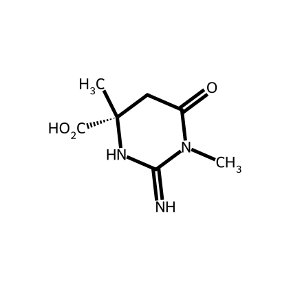 CN1C(=N)N[C@](C)(C(=O)O)CC1=O